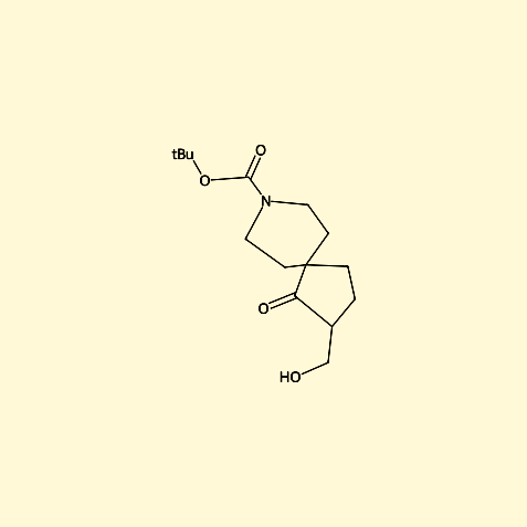 CC(C)(C)OC(=O)N1CCC2(CCC(CO)C2=O)CC1